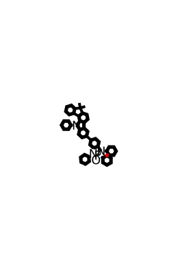 CC1(C)c2ccccc2-c2c1ccc1c3cc(-c4ccc5c(c4)N(c4ccccc4)P(=O)(c4ccccc4)N5c4ccccc4)ccc3n(-c3ccccc3)c21